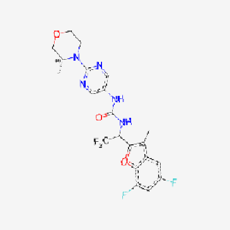 Cc1c(C(NC(=O)Nc2cnc(N3CCOC[C@H]3C)nc2)C(F)(F)F)oc2c(F)cc(F)cc12